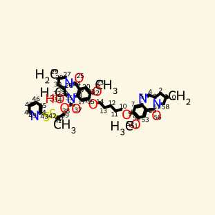 C=C1CC2C=Nc3cc(OCCCCCOc4cc5c(cc4OC)C(=O)N4CC(=C)C[C@@]4(C)[C@H](O)N5C(=O)OCC(C)SSc4ccccn4)c(OC)cc3C(=O)N2C1